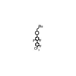 CCC(C)CCC1CCC(c2cc(F)c(-c3ccc(C(F)(F)F)c(F)c3)c(F)c2)CC1